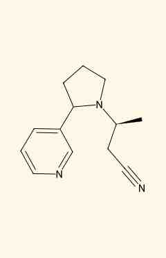 C[C@@H](CC#N)N1CCCC1c1cccnc1